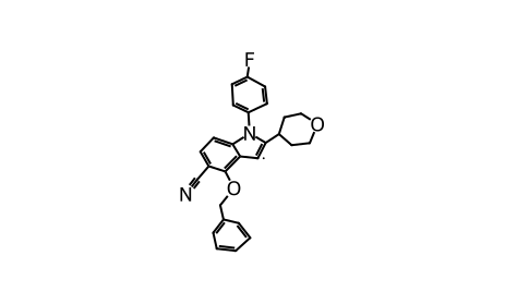 N#Cc1ccc2c([c]c(C3CCOCC3)n2-c2ccc(F)cc2)c1OCc1ccccc1